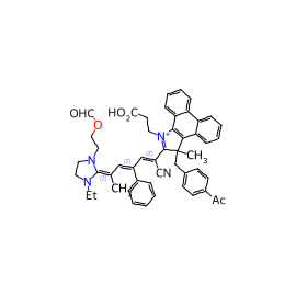 CCN1CCN(CCOC=O)\C1=C(C)/C=C(/C=C(\C#N)C1=[N+](CCC(=O)O)c2c(c3ccccc3c3ccccc23)C1(C)Cc1ccc(C(C)=O)cc1)c1ccccc1